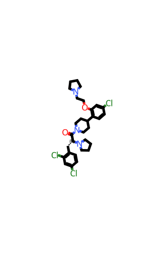 O=C([C@@H](Cc1ccc(Cl)cc1Cl)N1CCCC1)N1CCC(c2ccc(Cl)cc2OCCN2CCCC2)CC1